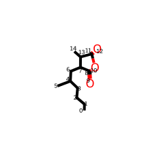 CCCCC(C)CC1C(=O)OC(=O)C1C